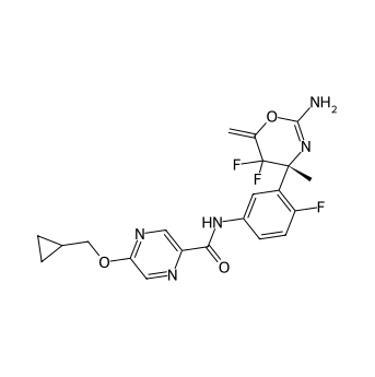 C=C1OC(N)=N[C@](C)(c2cc(NC(=O)c3cnc(OCC4CC4)cn3)ccc2F)C1(F)F